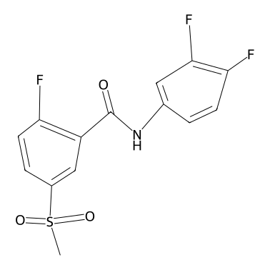 CS(=O)(=O)c1ccc(F)c(C(=O)Nc2ccc(F)c(F)c2)c1